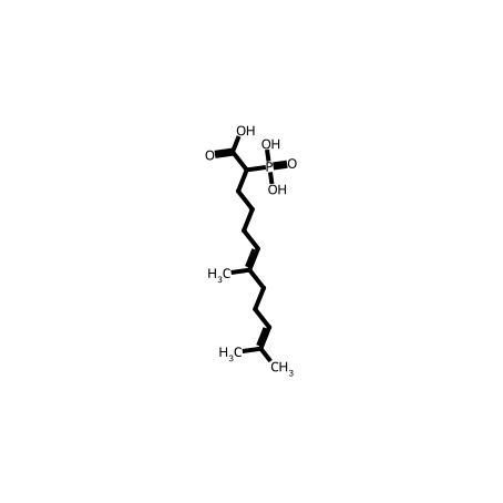 CC(C)=CCC/C(C)=C/CCCC(C(=O)O)P(=O)(O)O